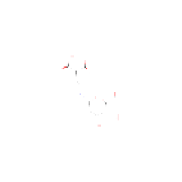 O=C(O)C(CCN[C@@H]1O[C@H](CO)[C@@H](O)[C@H](O)[C@@H]1O)C(=O)O